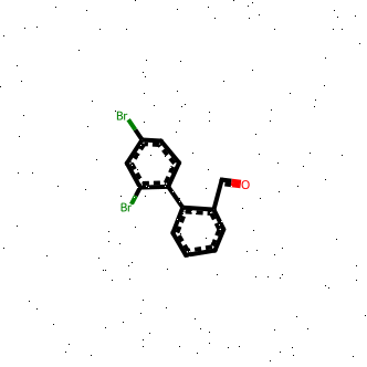 O=Cc1ccccc1-c1ccc(Br)cc1Br